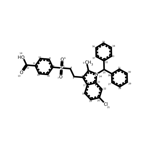 Cc1c(CCS(=O)(=O)c2ccc(C(=O)O)cc2)c2ccc(Cl)cc2n1C(c1ccccc1)c1ccccc1